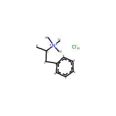 CC(Cc1ccccc1)[N+](C)(C)C.[Cl-]